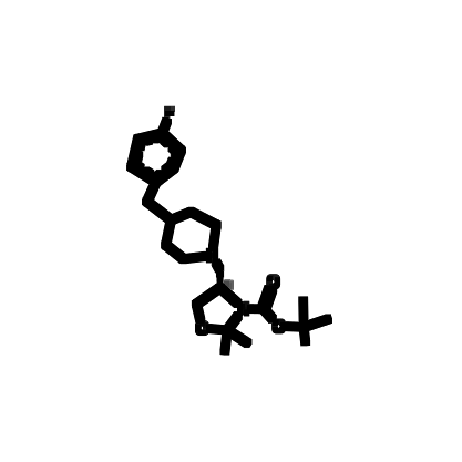 CC(C)(C)OC(=O)N1[C@@H](CN2CCC(Cc3ccc(F)cc3)CC2)COC1(C)C